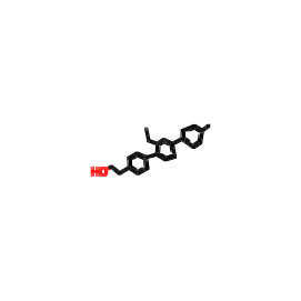 CCc1cc(-c2ccc(C)cc2)ccc1-c1ccc(CCO)cc1